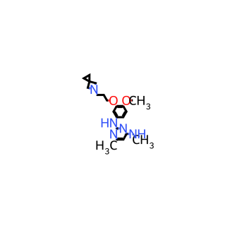 CNc1cc(C)nc(Nc2ccc(OC)c(OCCCN3CC4(CC4)C3)c2)n1